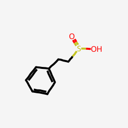 O=S(O)CCc1ccccc1